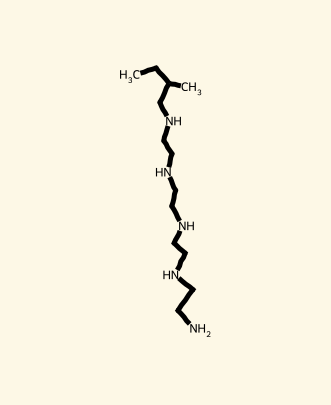 CCC(C)CNCCNCCNCCNCCN